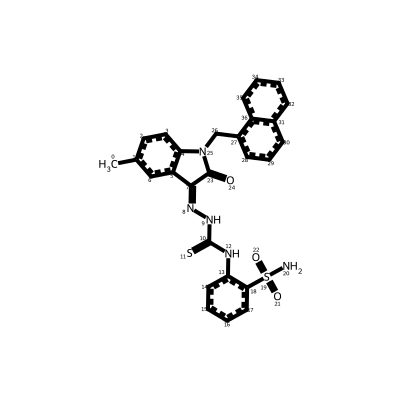 Cc1ccc2c(c1)C(=NNC(=S)Nc1ccccc1S(N)(=O)=O)C(=O)N2Cc1cccc2ccccc12